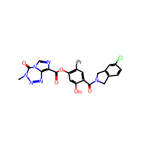 CC(C)c1cc(C(=O)N2Cc3ccc(Cl)cc3C2)c(O)cc1OC(=O)c1ncn2c(=O)n(C)nnc12